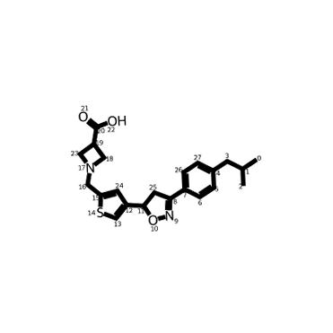 CC(C)Cc1ccc(C2=NOC(c3csc(CN4CC(C(=O)O)C4)c3)C2)cc1